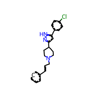 Clc1ccc(-c2cc(C3CCN(CC=Cc4ccccc4)CC3)n[nH]2)cc1